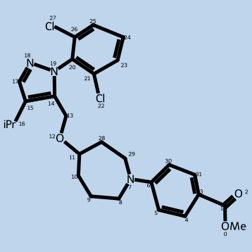 COC(=O)c1ccc(N2CCCC(OCc3c(C(C)C)cnn3-c3c(Cl)cccc3Cl)CC2)cc1